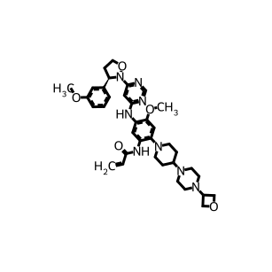 C=CC(=O)Nc1cc(Nc2cc(N3OCC[C@@H]3c3cccc(OC)c3)ncn2)c(OC)cc1N1CCC(N2CCN(C3COC3)CC2)CC1